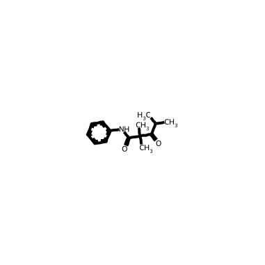 CC(C)C(=O)C(C)(C)C(=O)Nc1ccccc1